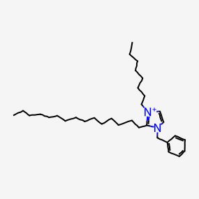 CCCCCCCCCCCCCCCc1n(Cc2ccccc2)cc[n+]1CCCCCCCC